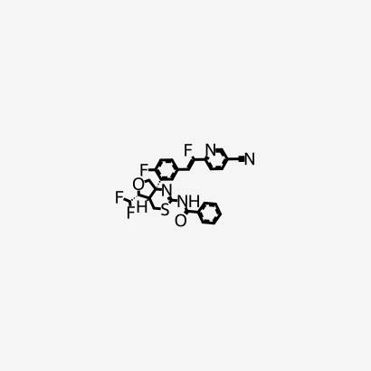 N#Cc1ccc(/C(F)=C/c2ccc(F)c([C@@]34CO[C@@H](C(F)F)[C@@H]3CSC(NC(=O)c3ccccc3)=N4)c2)nc1